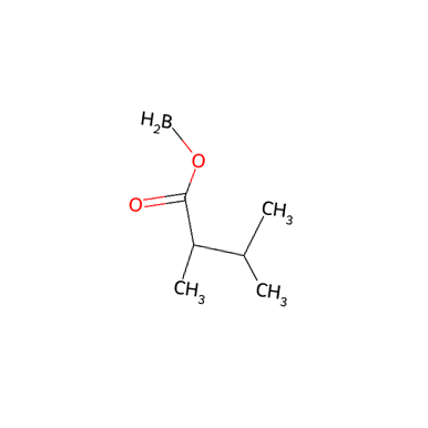 BOC(=O)C(C)C(C)C